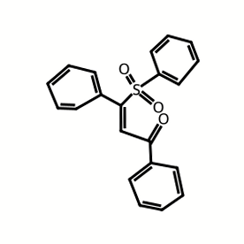 O=C(C=C(c1ccccc1)S(=O)(=O)c1ccccc1)c1ccccc1